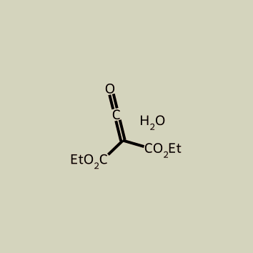 CCOC(=O)C(=C=O)C(=O)OCC.O